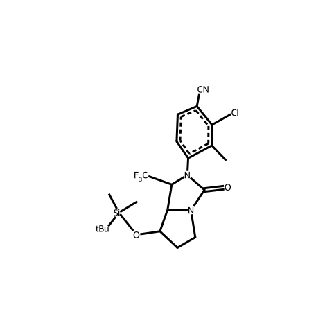 Cc1c(N2C(=O)N3CCC(O[Si](C)(C)C(C)(C)C)C3C2C(F)(F)F)ccc(C#N)c1Cl